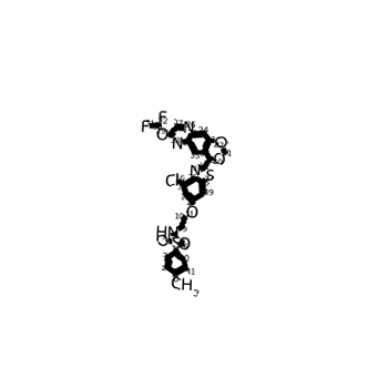 Cc1ccc(S(=O)(=O)NCCOc2cc(Cl)c3nc(C4OCOc5cc6ncc(OC(F)F)nc6cc54)sc3c2)cc1